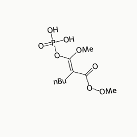 CCCCC(C(=O)OOC)=C(OC)OP(=O)(O)O